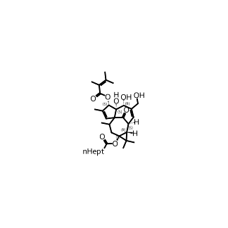 CCCCCCCC(=O)O[C@@]12CC(C)C34C=C(C)[C@H](OC(=O)C(C)=C(C)C)[C@@]3(O)[C@H](O)C(CO)=C[C@H](C4=O)[C@@H]1C2(C)C